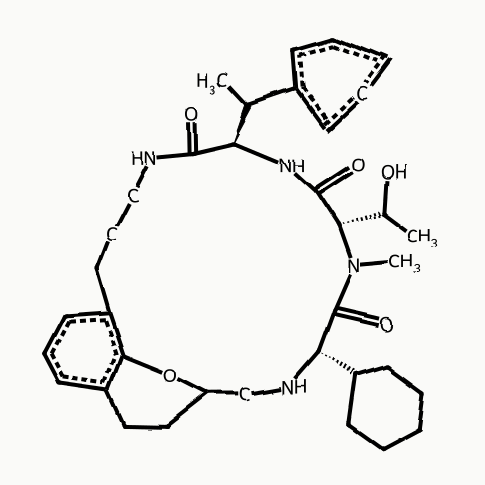 CC(O)[C@H]1C(=O)N[C@H](C(C)c2ccccc2)C(=O)NCCCc2cccc3c2OC(CC3)CN[C@@H](C2CCCCC2)C(=O)N1C